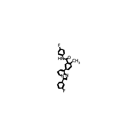 Cc1ccc(-c2cccn3c(-c4cccc(F)c4)cnc23)cc1C(=O)Nc1ccc(F)cc1